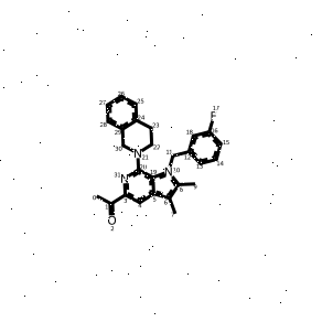 CC(=O)c1cc2c(C)c(C)n(Cc3cccc(F)c3)c2c(N2CCc3ccccc3C2)n1